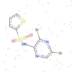 O=S(=O)(Nc1ncc(Br)nc1Br)c1cccs1